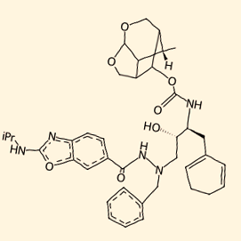 CC(C)Nc1nc2ccc(C(=O)NN(Cc3ccccc3)C[C@H](O)[C@H](CC3=CCCC=C3)NC(=O)OC3C4COC5OCC3[C@H](C)C54)cc2o1